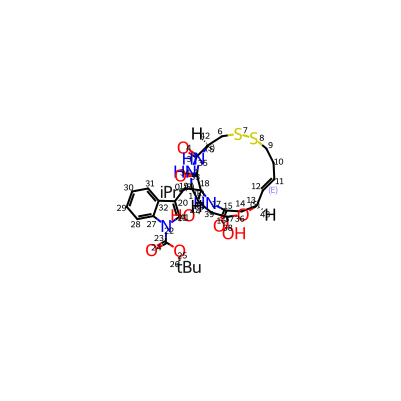 CC(C)[C@H]1NC(=O)[C@H]2CSSCC/C=C/[C@H](CC(=O)N[C@H](Cc3cn(C(=O)OC(C)(C)C)c4ccccc34)C(=O)N2)OC(O)C[C@@H]1O